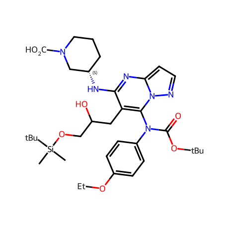 CCOc1ccc(N(C(=O)OC(C)(C)C)c2c(CC(O)CO[Si](C)(C)C(C)(C)C)c(N[C@H]3CCCN(C(=O)O)C3)nc3ccnn23)cc1